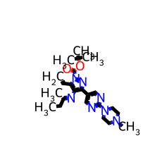 C=Cc1c(/N=C(\C)CC)c(-c2cnc(N3CCN(C)CC3)nc2)nn1C(=O)OC(C)(C)C